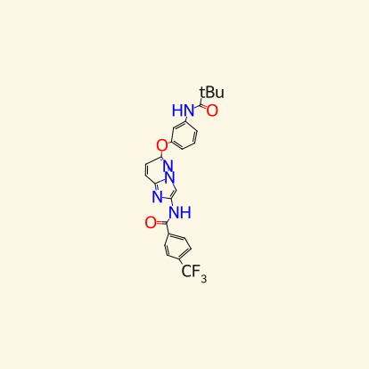 CC(C)(C)C(=O)Nc1cccc(Oc2ccc3nc(NC(=O)c4ccc(C(F)(F)F)cc4)cn3n2)c1